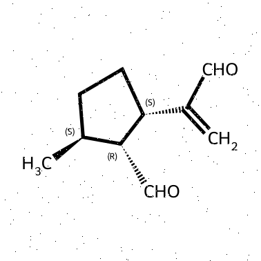 C=C(C=O)[C@H]1CC[C@H](C)[C@H]1C=O